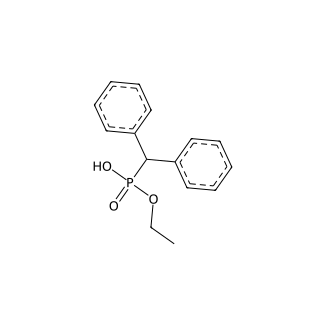 CCOP(=O)(O)C(c1ccccc1)c1ccccc1